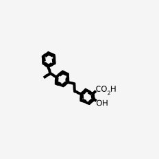 CC(c1ccccc1)c1ccc(CCc2ccc(O)c(C(=O)O)c2)cc1